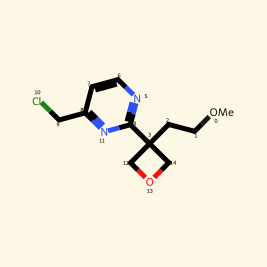 COCCC1(c2nccc(CCl)n2)COC1